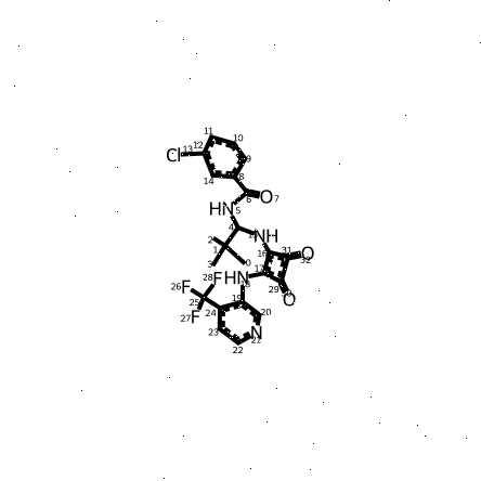 CC(C)(C)C(NC(=O)c1cccc(Cl)c1)Nc1c(Nc2cnccc2C(F)(F)F)c(=O)c1=O